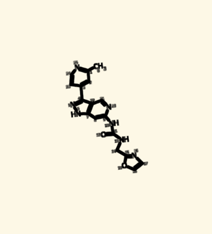 Cc1cc(-c2n[nH]c3cc(NC(=O)NCc4ncco4)ncc23)ccn1